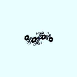 O=S(=O)(O)c1cc(NS(=O)(=O)c2ccccc2)ccc1/C=C/c1ccc(NS(=O)(=O)c2ccccc2)cc1S(=O)(=O)O